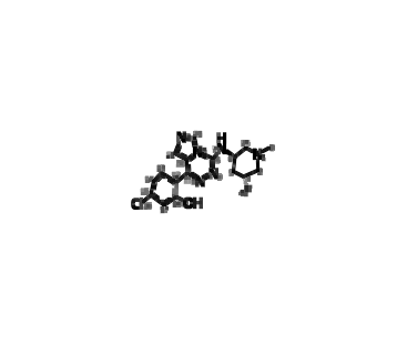 CN1C[C@H](F)C[C@@H](Nc2nnc(-c3ccc(Cl)cc3O)c3cncn23)C1